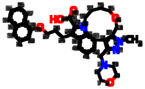 Cn1nc(CN2CCOCC2)c2c1COCCCCn1c(C(=O)O)c(CCCOc3cccc4ccccc34)c3cccc-2c31